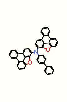 c1ccc(-c2ccc(N(c3ccc4c5ccccc5c5cccc6oc3c4c65)c3ccc4c5ccccc5c5cccc6oc3c4c65)cc2)cc1